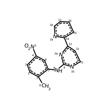 Cc1ccc([N+](=O)[O-])cc1Nc1nccc(-c2ccccn2)n1